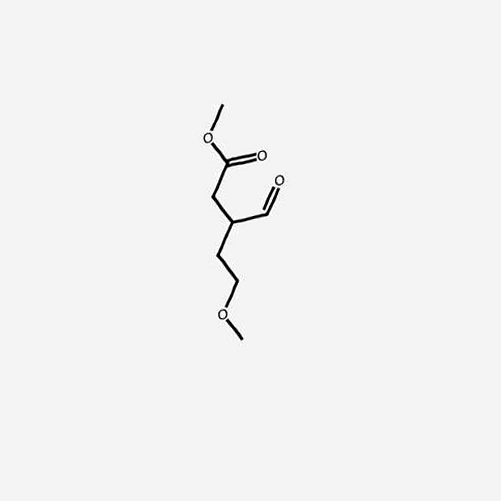 COCCC(C=O)CC(=O)OC